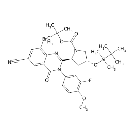 COc1ccc(-n2c([C@@H]3C[C@@H](O[Si](C)(C)C(C)(C)C)CN3C(=O)OC(C)(C)C)nc3c(Br)cc(C#N)cc3c2=O)cc1F